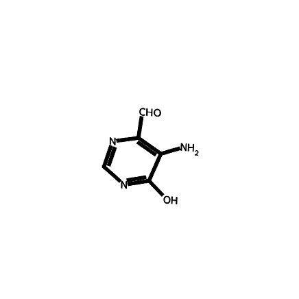 Nc1c(O)ncnc1C=O